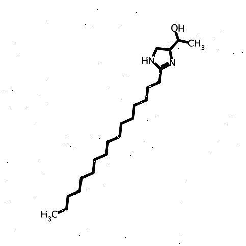 CCCCCCCCCCCCCCCCC1=NC(C(C)O)CN1